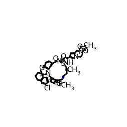 CO[C@H]1/C=C/C[C@H](C)CS(=O)(NC(=O)c2cc3n(c2)CCN(S(C)(=O)=O)C3)=NC(=O)c2ccc3c(c2)N(C[C@@H]2CC[C@H]21)C[C@@]1(CCCc2cc(Cl)ccc21)CO3